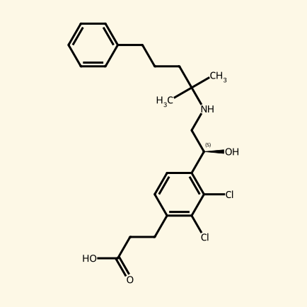 CC(C)(CCCc1ccccc1)NC[C@@H](O)c1ccc(CCC(=O)O)c(Cl)c1Cl